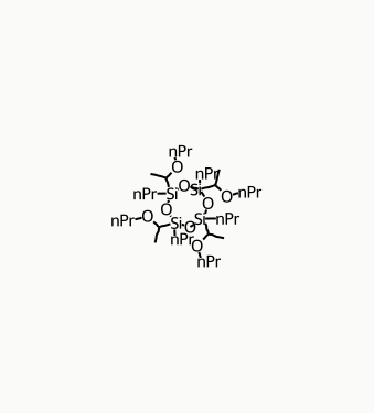 CCCOC(C)[Si]1(CCC)O[Si](CCC)(C(C)OCCC)O[Si](CCC)(C(C)OCCC)O[Si](CCC)(C(C)OCCC)O1